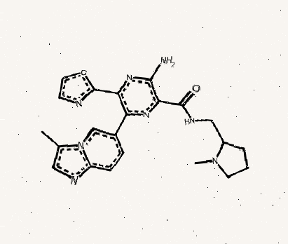 Cc1cnc2ccc(-c3nc(C(=O)NCC4CCCN4C)c(N)nc3-c3ncco3)cn12